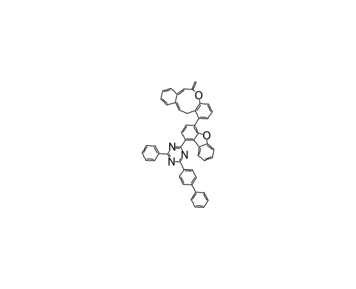 C=C1/C=c2/cccc/c2=C/Cc2c(cccc2-c2ccc(-c3nc(-c4ccccc4)nc(-c4ccc(-c5ccccc5)cc4)n3)c3c2oc2ccccc23)O1